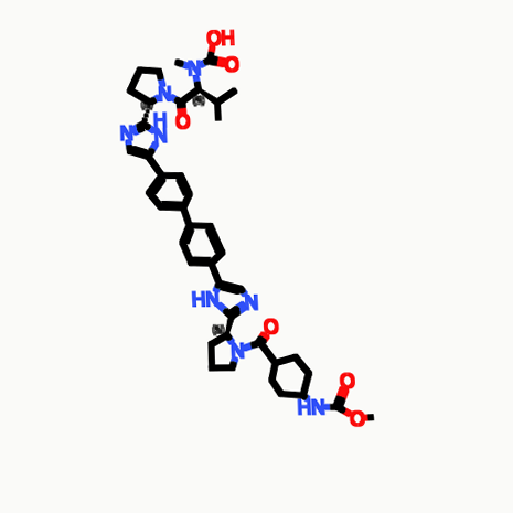 COC(=O)NC1CCC(C(=O)N2CCC[C@H]2c2ncc(-c3ccc(-c4ccc(-c5cnc([C@@H]6CCCN6C(=O)[C@H](C(C)C)N(C)C(=O)O)[nH]5)cc4)cc3)[nH]2)CC1